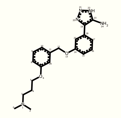 CN(C)CCCOc1cccc(COc2cccc(-c3nn[nH]c3N)c2)c1